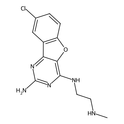 CNCCNc1nc(N)nc2c1oc1ccc(Cl)cc12